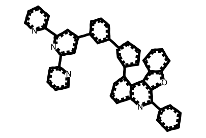 c1ccc(-c2nc3cccc(-c4cccc(-c5cccc(-c6cc(-c7ccccn7)nc(-c7ccccn7)c6)c5)c4)c3c3c2oc2ccccc23)cc1